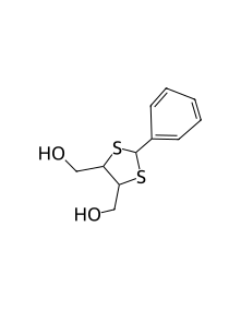 OCC1SC(c2ccccc2)SC1CO